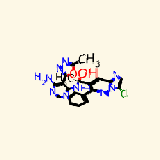 Cc1nnc(-c2c(N)ncnc2N[C@@](C)(O)c2cc3ncc(Cl)n3nc2-c2ccccc2)o1